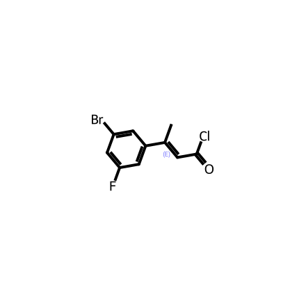 C/C(=C\C(=O)Cl)c1cc(F)cc(Br)c1